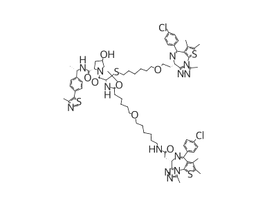 Cc1ncsc1-c1ccc([C@H](C)NC(=O)[C@@H]2C[C@@H](O)CN2C(=O)[C@@H](NC(=O)CCCCCOCCCCCCNC(=O)C[C@@H]2N=C(c3ccc(Cl)cc3)c3c(sc(C)c3C)-n3c(C)nnc32)C(C)(C)SCCCCCCOCC[C@@H]2N=C(c3ccc(Cl)cc3)c3c(sc(C)c3C)-n3c(C)nnc32)cc1